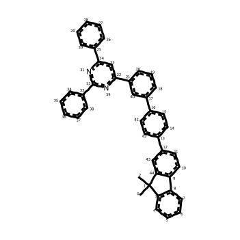 CC1(C)c2ccccc2-c2ccc(-c3ccc(-c4cccc(-c5cc(-c6ccccc6)nc(-c6ccccc6)n5)c4)cc3)cc21